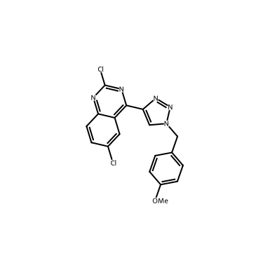 COc1ccc(Cn2cc(-c3nc(Cl)nc4ccc(Cl)cc34)nn2)cc1